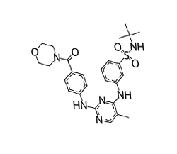 Cc1cnc(Nc2ccc(C(=O)N3CCOCC3)cc2)nc1Nc1cccc(S(=O)(=O)NC(C)(C)C)c1